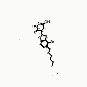 CCCCCCc1ccc2oc(C(CC(=O)O)C(O)=S)nc2c1Br